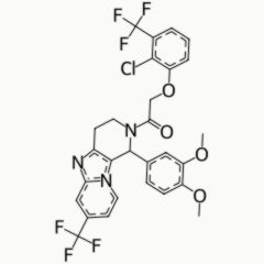 COc1ccc(C2c3c(nc4cc(C(F)(F)F)ccn34)CCN2C(=O)COc2cccc(C(F)(F)F)c2Cl)cc1OC